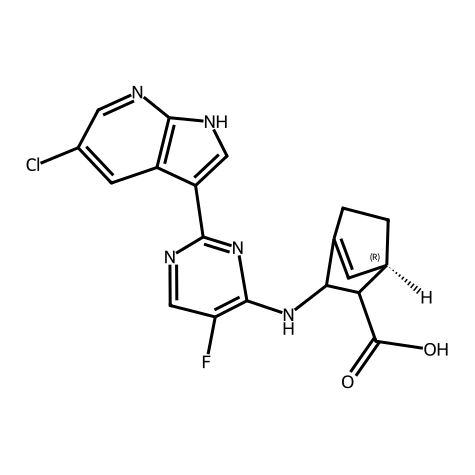 O=C(O)C1C(Nc2nc(-c3c[nH]c4ncc(Cl)cc34)ncc2F)C2=C[C@H]1CC2